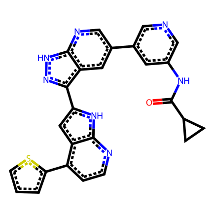 O=C(Nc1cncc(-c2cnc3[nH]nc(-c4cc5c(-c6cccs6)ccnc5[nH]4)c3c2)c1)C1CC1